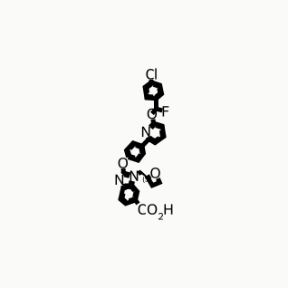 O=C(O)c1ccc2nc(Oc3ccc(-c4cccc(OC(F)c5ccc(Cl)cc5)n4)cc3)n(C[C@@H]3CCO3)c2c1